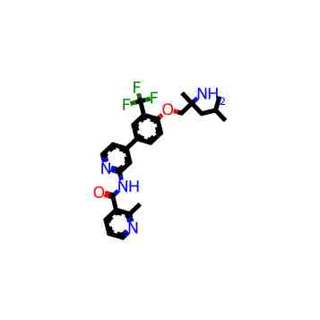 Cc1ncccc1C(=O)Nc1cc(-c2ccc(OCC(C)(N)CC(C)C)c(C(F)(F)F)c2)ccn1